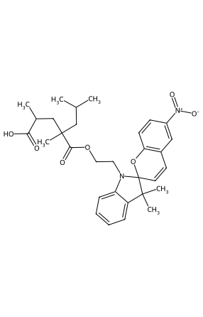 CC(C)CC(C)(CC(C)C(=O)O)C(=O)OCCN1c2ccccc2C(C)(C)C12C=Cc1cc([N+](=O)[O-])ccc1O2